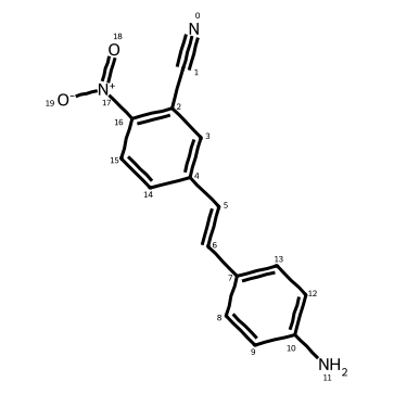 N#Cc1cc(C=Cc2ccc(N)cc2)ccc1[N+](=O)[O-]